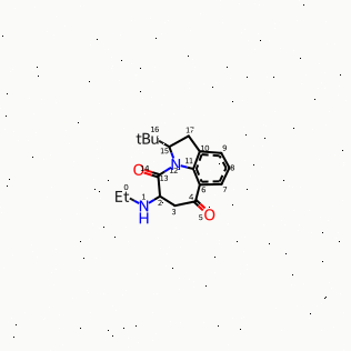 CCNC1CC(=O)c2cccc3c2N(C1=O)C(C(C)(C)C)C3